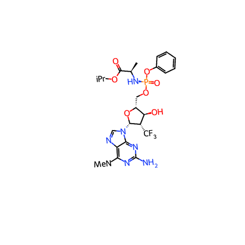 CNc1nc(N)nc2c1ncn2[C@@H]1O[C@H](CO[P@](=O)(N[C@H](C)C(=O)OC(C)C)Oc2ccccc2)[C@@H](O)[C@@H]1C(F)(F)F